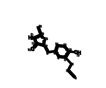 C=CCc1cc(/C=c2\sc(=C)[nH]c2=O)ccc1O